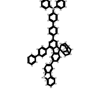 c1ccc(-c2ccc(-c3cc(-c4ccc(-c5ccc(N(c6ccccc6)c6ccccc6)cc5)cc4)cc4c3-c3cc(-c5ccc6sc7ccccc7c6c5)ccc3C43C4CC5CC(C4)CC3C5)cc2)cc1